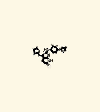 O=c1ccc2c(Cc3cccs3)nc(Nc3ccc(-n4cccn4)cc3)nc2[nH]1